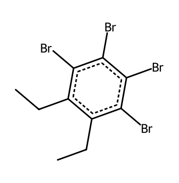 CCc1c(Br)c(Br)c(Br)c(Br)c1CC